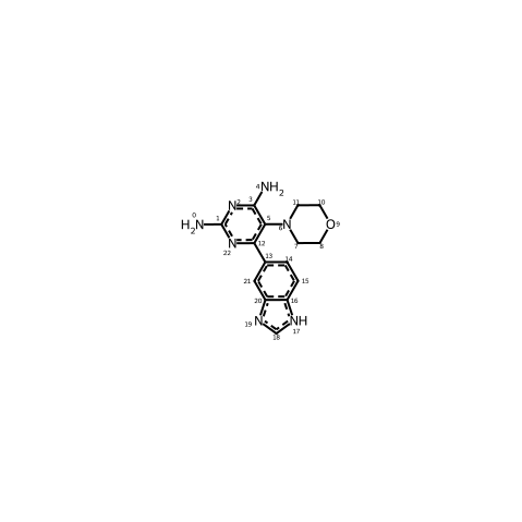 Nc1nc(N)c(N2CCOCC2)c(-c2ccc3[nH]cnc3c2)n1